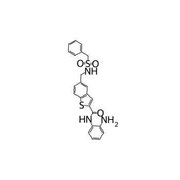 Nc1ccccc1NC(=O)c1cc2cc(CNS(=O)(=O)Cc3ccccc3)ccc2s1